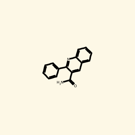 NC(=O)c1cc2ccccc2nc1-c1ccccc1